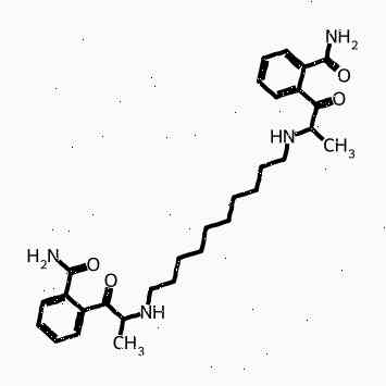 CC(NCCCCCCCCCCNC(C)C(=O)c1ccccc1C(N)=O)C(=O)c1ccccc1C(N)=O